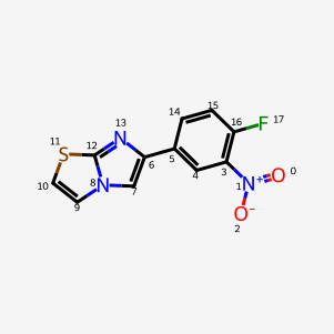 O=[N+]([O-])c1cc(-c2cn3ccsc3n2)ccc1F